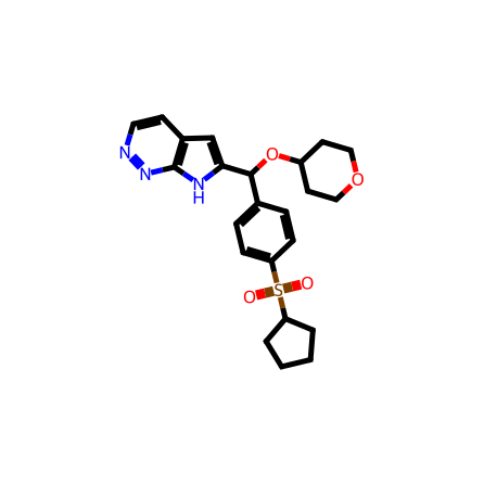 O=S(=O)(c1ccc(C(OC2CCOCC2)c2cc3ccnnc3[nH]2)cc1)C1CCCC1